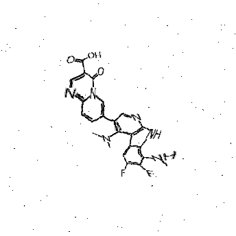 CNc1c(F)c(F)cc2c1[nH]c1ncc(-c3ccc4ncc(C(=O)O)c(=O)n4c3)c(N(C)C)c12